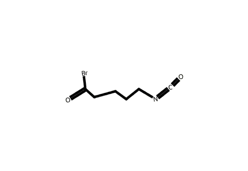 O=C=NCCCCC(=O)Br